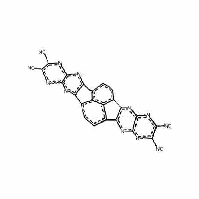 [C-]#[N+]c1nc2nc3c(nc2nc1[N+]#[C-])-c1ccc2c4c(ccc-3c14)-c1nc3nc(C#N)c(C#N)nc3nc1-2